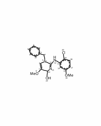 COC1=CN(Cc2ccccc2)C(Nc2cc(OC)ccc2Cl)=NC1O